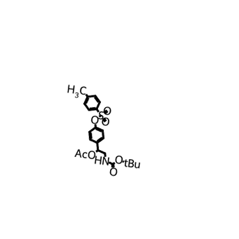 CC(=O)OC(CNC(=O)OC(C)(C)C)c1ccc(OS(=O)(=O)c2ccc(C)cc2)cc1